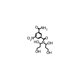 NC(=O)c1cc(C(=O)N(C(O)CCO)C(O)CCO)cc([N+](=O)[O-])c1